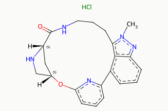 Cl.Cn1nc2cccc3c2c1CCCNC(=O)[C@@H]1C[C@@H](CN1)Oc1cccc-3n1